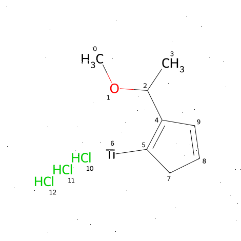 COC(C)C1=[C]([Ti])CC=C1.Cl.Cl.Cl